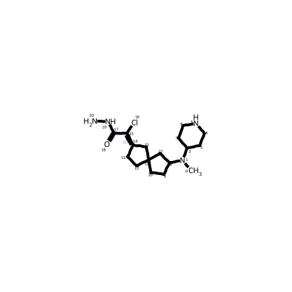 CN(C1CCNCC1)C1CCC2(CC/C(=C(/Cl)C(=O)NN)C2)C1